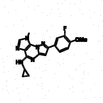 COc1ccc(-c2cc3nc(NC4CC4)c4ncn(C)c4n3n2)cc1F